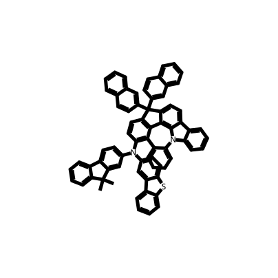 CC1(C)c2ccccc2-c2ccc(N(c3ccc4sc5ccccc5c4c3)c3ccc4c5c3C3=CCCC=C3n3c6ccccc6c6ccc(c-5c63)C4(c3ccc4ccccc4c3)c3ccc4ccccc4c3)cc21